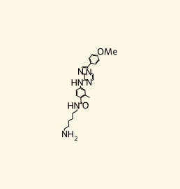 COc1ccc(-c2cnc3c(Nc4ccc(C(=O)NCCCCCCN)c(C)c4)nccn23)cc1